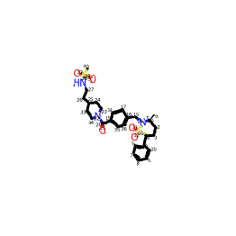 C[C@H]1CCC(c2ccccc2)S(=O)(=O)N1Cc1ccc(C(=O)N2CCC(CCNS(C)(=O)=O)CC2)cc1